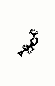 CC(C)(C)OC(=O)N1CCC2C(C1)C2(CN)c1cc(C2CC2)on1